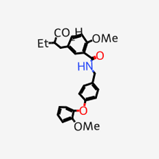 CCC(Cc1ccc(OC)c(C(=O)NCc2ccc(Oc3ccccc3OC)cc2)c1)C(=O)O